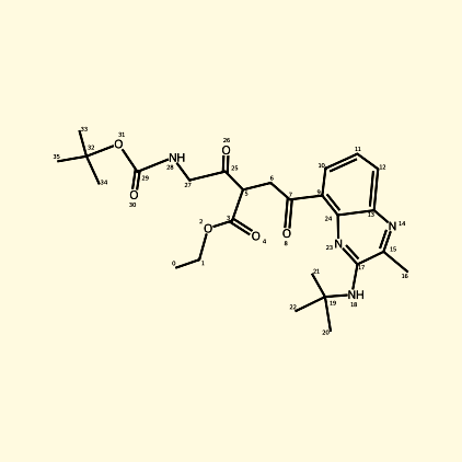 CCOC(=O)C(CC(=O)c1cccc2nc(C)c(NC(C)(C)C)nc12)C(=O)CNC(=O)OC(C)(C)C